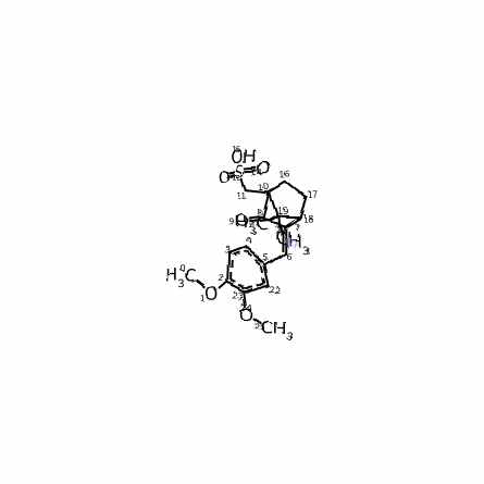 COc1ccc(/C=C2\C(=O)C3(CS(=O)(=O)O)CCC2C3(C)C)cc1OC